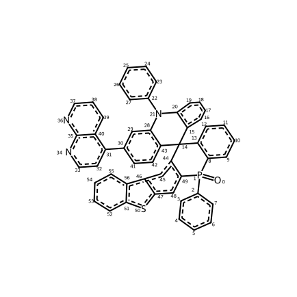 O=P1(c2ccccc2)c2ccccc2C2(c3ccccc3N(c3ccccc3)c3cc(-c4ccnc5ncccc45)ccc32)c2cc3c(cc21)sc1ccccc13